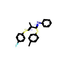 CC(=C\Sc1ccc(F)cc1)/C(=N/c1ccccc1)Sc1ccc(C)cc1